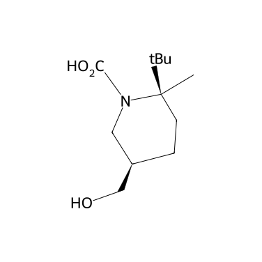 CC(C)(C)[C@@]1(C)CC[C@@H](CO)CN1C(=O)O